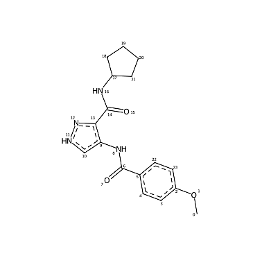 COc1ccc(C(=O)Nc2c[nH]nc2C(=O)NC2CCCC2)cc1